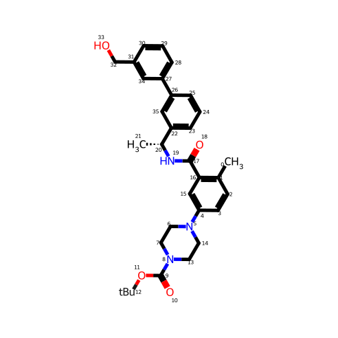 Cc1ccc(N2CCN(C(=O)OC(C)(C)C)CC2)cc1C(=O)N[C@H](C)c1cccc(-c2cccc(CO)c2)c1